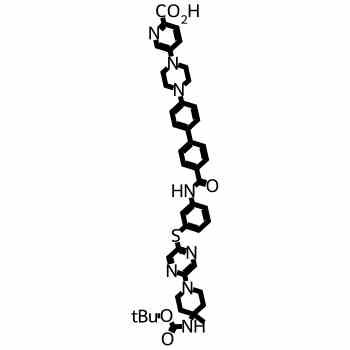 CC1(NC(=O)OC(C)(C)C)CCN(c2cnc(Sc3cccc(NC(=O)c4ccc(-c5ccc(N6CCN(c7ccc(C(=O)O)nc7)CC6)cc5)cc4)c3)cn2)CC1